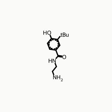 CC(C)(C)c1cc(C(=O)NCCN)ccc1O